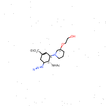 CCOC(=O)C1=C[C@@H](N2CCC[C@H](OCCO)C2)[C@H](NC(C)=O)C(N=[N+]=[N-])C1